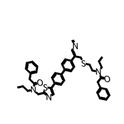 C=N/C=C(\CSCCN(CCC)C(=O)Cc1ccccc1)c1ccc(-c2ccc(-c3cnc(CN(CCC)C(=O)Cc4ccccc4)s3)cc2)cc1